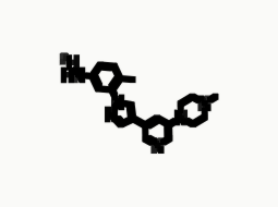 [2H]Nc1ccc(C)c(-n2cc(-c3cncc(N4CCN(C)CC4)c3)cn2)c1